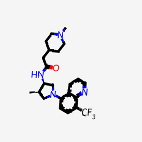 C[C@@H]1CN(c2ccc(C(F)(F)F)c3ncccc23)C[C@@H]1NC(=O)CC1CCN(C)CC1